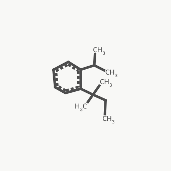 CCC(C)(C)c1ccccc1C(C)C